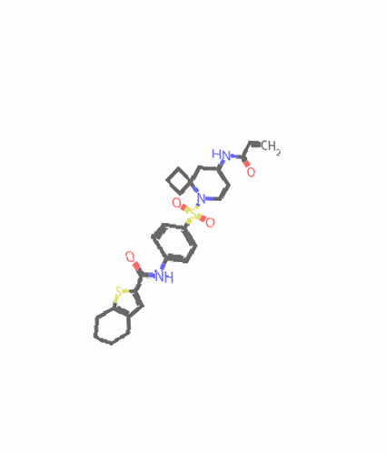 C=CC(=O)NC1CCN(S(=O)(=O)c2ccc(NC(=O)c3cc4c(s3)CCCC4)cc2)C2(CCC2)C1